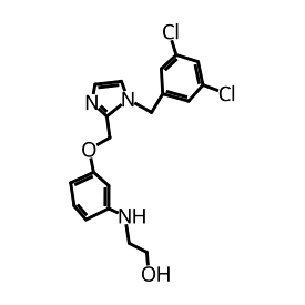 OCCNc1cccc(OCc2nccn2Cc2cc(Cl)cc(Cl)c2)c1